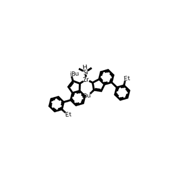 CCc1ccccc1-c1cccc2c1C=C(C(C)CC)[CH]2[Zr]([CH]1C(C(C)CC)=Cc2c(-c3ccccc3CC)cccc21)[SiH](C)C